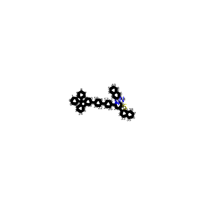 c1ccc(C2(c3ccccc3)c3ccccc3-c3cc(-c4ccc(-c5ccc(-c6cc7c8ccc9ccccc9c8sc7c7nc8cc9ccccc9cc8n67)cc5)cc4)ccc32)cc1